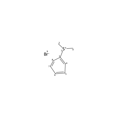 C[S+](C)c1ccccc1.[Br-]